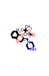 CC(C)(C)OC=O.c1ccc2c(c1)OC[C@H](CN1CCNCC1)O2